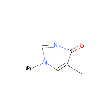 Cc1cn(C(C)C)cnc1=O